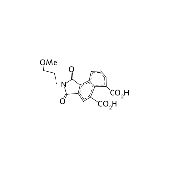 COCCCN1C(=O)c2cc(C(=O)O)c3c(C(=O)O)cccc3c2C1=O